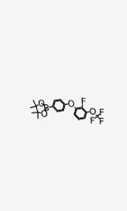 CC1(C)OB(c2ccc(Oc3cccc(OC(F)(F)F)c3F)cc2)OC1(C)C